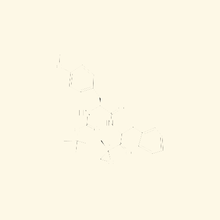 COc1ccc(C[C@H](NC(=O)OC(C)(C)C)C(=O)NC(Cc2ccccc2)C(=O)[C@@]2(C)CO2)cc1